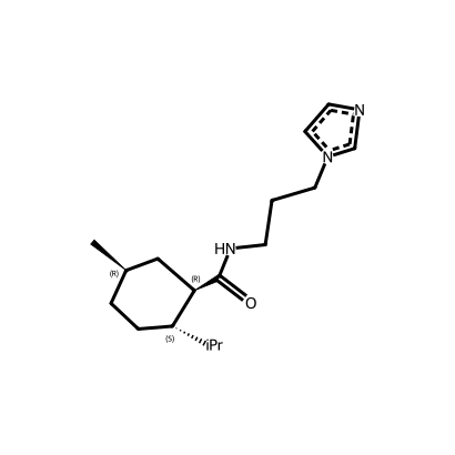 CC(C)[C@@H]1CC[C@@H](C)C[C@H]1C(=O)NCCCn1ccnc1